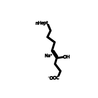 CCCCCCCCCCC=C(O)CCC(=O)[O-].[Na+]